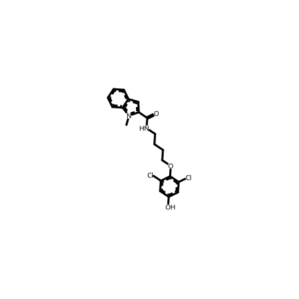 Cn1c(C(=O)NCCCCOc2c(Cl)cc(O)cc2Cl)cc2ccccc21